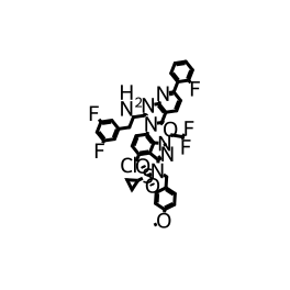 COc1ccc(CN(c2nn(CC(F)F)c3c(-n4c([C@@H](N)Cc5cc(F)cc(F)c5)nc5nc(-c6ccccc6F)ccc5c4=O)ccc(Cl)c23)S(=O)(=O)C2CC2)cc1